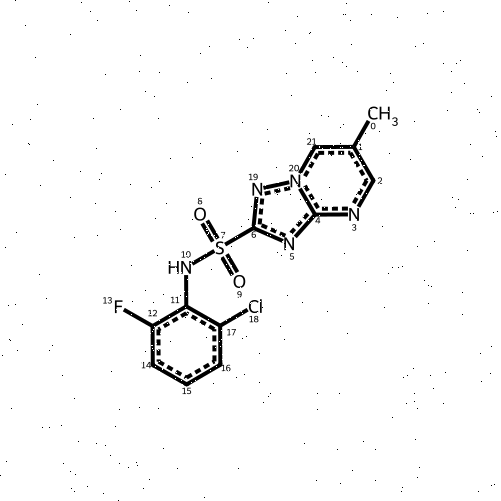 Cc1cnc2nc(S(=O)(=O)Nc3c(F)cccc3Cl)nn2c1